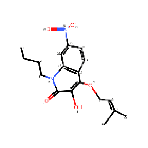 CCCCn1c(=O)c(O)c(OCC=C(C)C)c2ccc([N+](=O)[O-])cc21